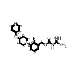 N=C(N)NC(=O)OCc1cccc(N2CCC(Oc3ccncc3)CC2)c1F